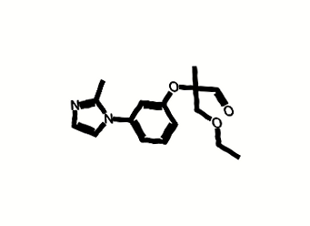 CCOCC(C)(C=O)Oc1cccc(-n2ccnc2C)c1